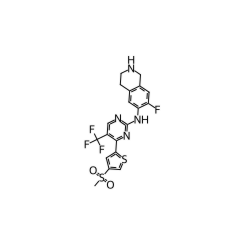 CS(=O)(=O)c1csc(-c2nc(Nc3cc4c(cc3F)CNCC4)ncc2C(F)(F)F)c1